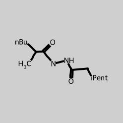 CCCCC(C)C(=O)[N]NC(=O)CC(C)CCC